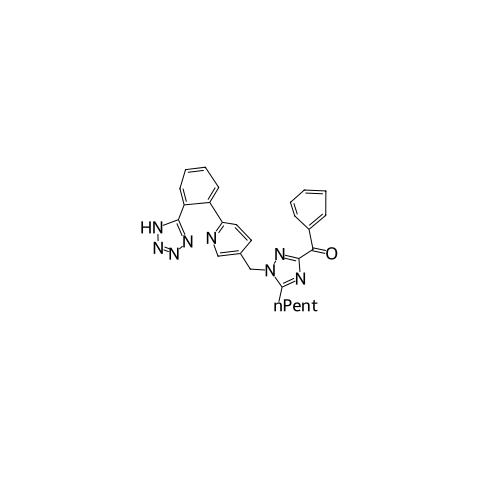 CCCCCc1nc(C(=O)c2ccccc2)nn1Cc1ccc(-c2ccccc2-c2nnn[nH]2)nc1